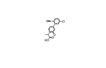 CC(C(=O)O)n1ccc(-c2cc(Cl)ccc2C#N)cc1=O